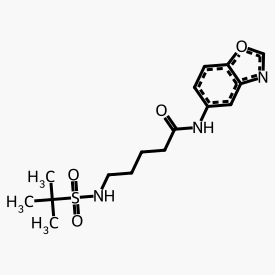 CC(C)(C)S(=O)(=O)NCCCCC(=O)Nc1ccc2ocnc2c1